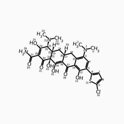 CN(C)c1cc(-c2ccc(Cl)s2)c(O)c2c1C[C@H]1C[C@H]3[C@H](N(C)C)C(O)=C(C(N)=O)C(=O)[C@@]3(O)C(O)=C1C2=O